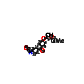 COC(=O)CC(C)Oc1ccc(C(=O)c2ccc(N=C=O)cc2)cc1